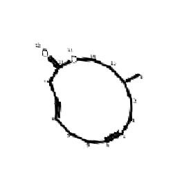 CC1CC/C=C\CC/C=C/CC(=O)OCC1